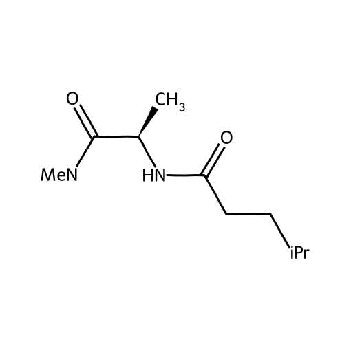 CNC(=O)[C@@H](C)NC(=O)CCC(C)C